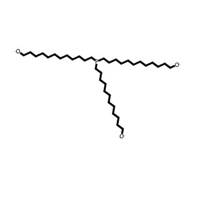 [O]CCCCCCCCCCCCP(CCCCCCCCCCCC[O])CCCCCCCCCCCC[O]